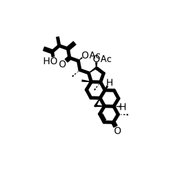 C=C(O)C(C)C(=C)C(=O)[C@H](OC(C)=O)[C@@H](C)[C@H]1[C@@H](OC(C)=O)C[C@@]2(C)[C@@H]3CC[C@H]4[C@H](C)C(=O)C=C[C@@]45C[C@@]35CC[C@]12C